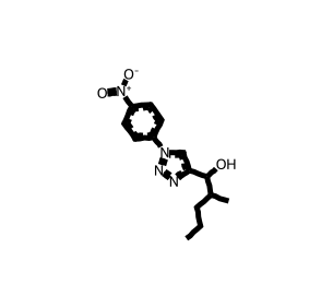 CCCC(C)C(O)c1cn(-c2ccc([N+](=O)[O-])cc2)nn1